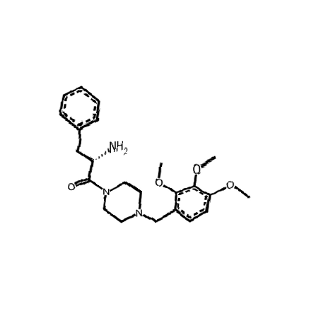 COc1ccc(CN2CCN(C(=O)[C@@H](N)Cc3ccccc3)CC2)c(OC)c1OC